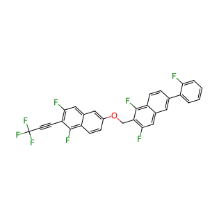 Fc1ccccc1-c1ccc2c(F)c(COc3ccc4c(F)c(C#CC(F)(F)F)c(F)cc4c3)c(F)cc2c1